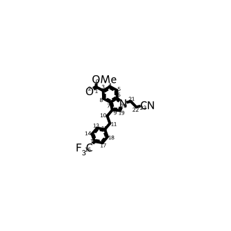 COC(=O)c1ccc2c(c1)c(CCc1ccc(C(F)(F)F)cc1)cn2CCC#N